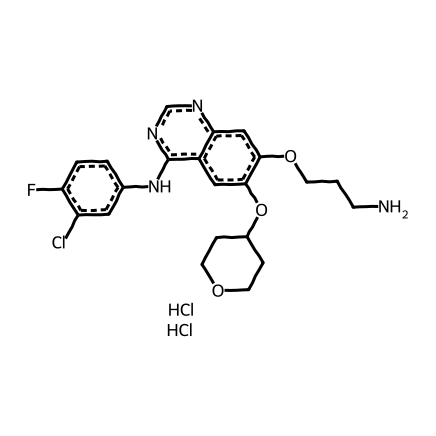 Cl.Cl.NCCCOc1cc2ncnc(Nc3ccc(F)c(Cl)c3)c2cc1OC1CCOCC1